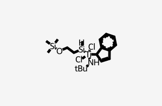 C[SiH](CCO[Si](C)(C)C)[Ti]([Cl])([Cl])([NH]C(C)(C)C)[CH]1C=Cc2ccccc21